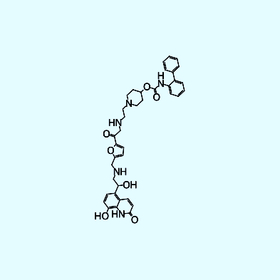 O=C(Nc1ccccc1-c1ccccc1)OC1CCN(CCNCC(=O)c2ccc(CNCC(O)c3ccc(O)c4[nH]c(=O)ccc34)o2)CC1